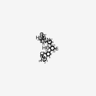 Cn1ccn(-c2ccc(-c3cc(F)cc(-c4ccnc(N5CCC(C)(NS(C)(=O)=O)C5)c4)c3O)cc2Cl)c1=O